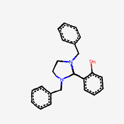 Oc1ccccc1C1N(Cc2ccccc2)CCN1Cc1ccccc1